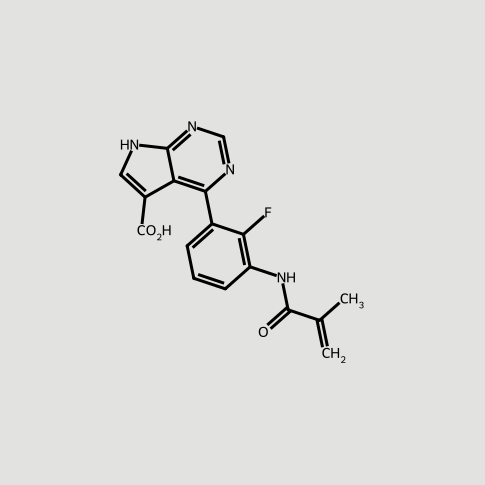 C=C(C)C(=O)Nc1cccc(-c2ncnc3[nH]cc(C(=O)O)c23)c1F